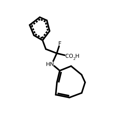 O=C(O)C(F)(Cc1ccccc1)NC1=CC=CCCCC1